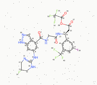 O=C(CNC(=O)c1cc(NC2=NCC(F)CN2)cc2[nH]ncc12)N[C@@H](CC(=O)OC(=O)C(F)(F)F)c1cc(I)cc(C(F)(F)F)c1